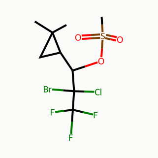 CC1(C)CC1C(OS(C)(=O)=O)C(Cl)(Br)C(F)(F)F